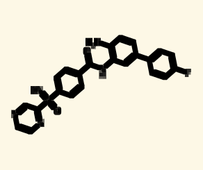 N=S(=O)(c1ccc(C(=O)Nc2cc(-c3ccc(F)cc3)ccc2N)cc1)c1cnccn1